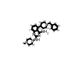 CN1CCN(Nc2nc(N)c3c(C4CCN(Cc5ccccc5)CC4)cccc3n2)CC1